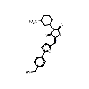 CC(C)Cc1ccc(-c2ccc(/C=C3/SC(=S)N(C4CCCC(C(=O)O)C4)C3=O)o2)cc1